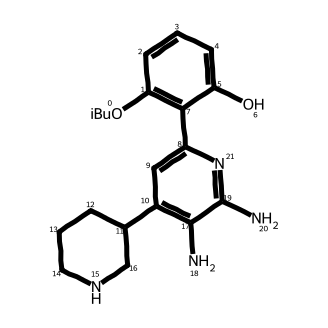 CC(C)COc1cccc(O)c1-c1cc(C2CCCNC2)c(N)c(N)n1